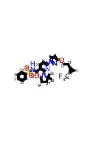 C[C@@H]1CN(c2nc(-n3ccc(OCCC4CC4C(F)(F)F)n3)ccc2C(=O)NS(=O)(=O)c2ccccc2)C(C)(C)C1